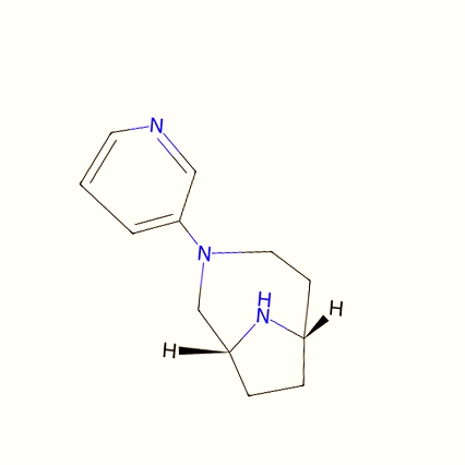 c1cncc(N2CC[C@@H]3CC[C@H](C2)N3)c1